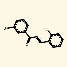 O=C(/C=C/c1ccccc1O)c1cccc(Br)c1